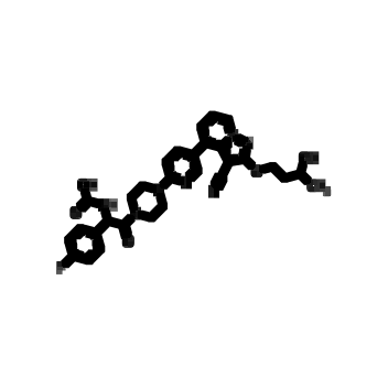 CC(O)CCOc1nn2cccc(-c3ccc(N4CCN(C(=O)C(NC(=O)O)c5ccc(F)cc5)CC4)nc3)c2c1C#N